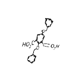 O=C(O)c1cc(OCc2ccccc2)cc(C(=O)O)c1OCc1ccccc1